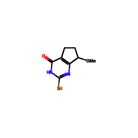 COC1CCc2c1nc(S)[nH]c2=O